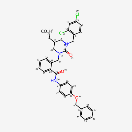 O=C(O)CC1CN(Cc2ccc(Cl)cc2Cl)C(=O)N(Cc2ccccc2C(=O)Nc2ccc(OCc3ccccc3)cc2)C1